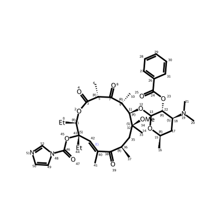 CC[C@H]1OC(=O)[C@H](C)C(=O)[C@H](C)[C@@H](OC2O[C@H](C)C[C@H](N(C)C)[C@H]2OC(=O)c2ccccc2)[C@@](C)(OC)C[C@@H](C)C(=O)/C(C)=C/[C@]1(CC)OC(=O)n1ccnc1